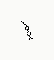 CCCCCC12CCC(C3CCC(C(=O)O)CC3)(CC1)CC2